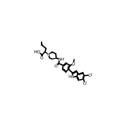 CCCC(C(=O)O)N1CCC(NC(=O)c2ccc(-c3cc4cc(Cl)c(Cl)cc4[nH]3)c(OC)c2)CC1